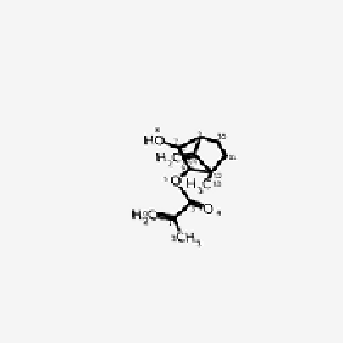 C=C(C)C(=O)OC1C(O)C2CCC1(C)C2=C